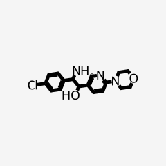 NC(c1ccc(Cl)cc1)C(O)c1ccc(N2CCOCC2)nc1